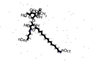 CCCCCCCC/C=C\CCCCCCCCCCCCCC(=O)NC(CO[C@@H]1OC(CO)[C@H](O)C(OS(C)(=O)=O)C1O)C(O)/C=C/CCCCCCCCCCCCC